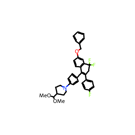 COC(OC)C1CCN(c2ccc(C3=C(c4ccc(F)cc4)CC(F)(F)c4cc(OCc5ccccc5)ccc43)cc2)CC1